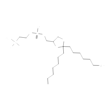 CCCCCCCCCCCCCCCCC1(CCCCCCCCCCCCCCCC)OCC(COP(=O)(O)OCC[N+](C)(C)C)O1